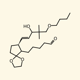 CCCCOCC(C)(C)C(O)C=C[C@@H]1CCC2(OCCO2)C1CCCCC=O